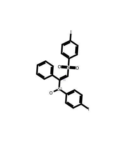 O=S(=O)(/C=C(\c1ccccc1)[S+]([O-])c1ccc(I)cc1)c1ccc(I)cc1